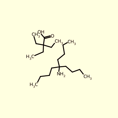 CCC(CC)(CC)C(=O)O.CCCCC(N)(CCCC)CCCC